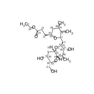 C=C1C(C[C@@H]2O[C@H]3C[C@@H](O)[C@@H](CO)O[C@H]3[C@H](C)[C@H]2O)O[C@@H](CCC(=O)OCC)C[C@H]1C